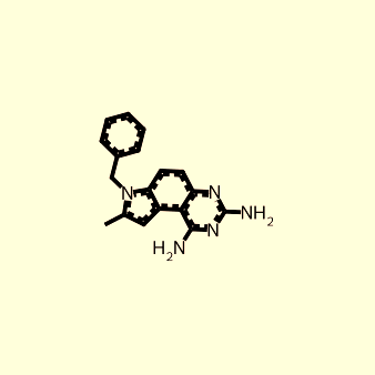 Cc1cc2c3c(N)nc(N)nc3ccc2n1Cc1ccccc1